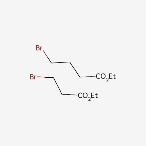 CCOC(=O)CCBr.CCOC(=O)CCCBr